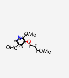 COCCCOc1cc(C=O)cnc1OC